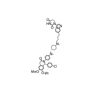 COc1cc2c(cc1OC(C)C)C(c1ccc(Cl)cc1)N(c1ccc(N(C)C[C@H]3CC[C@H](N(C)CCCCc4ccn5c(N6CCC(=O)NC6=O)cnc5c4)CC3)cc1)C(=O)C2